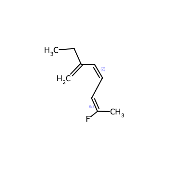 C=C(/C=C\C=C(/C)F)CC